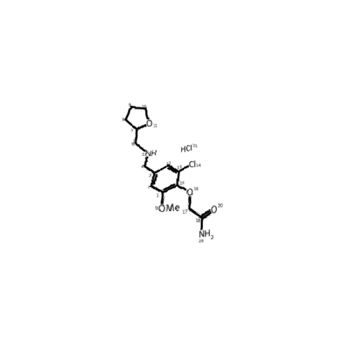 COc1cc(CNCC2CCCO2)cc(Cl)c1OCC(N)=O.Cl